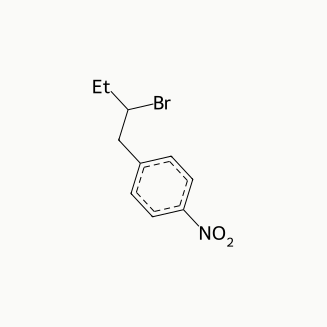 CCC(Br)Cc1ccc([N+](=O)[O-])cc1